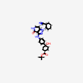 CC(C)(C)OC(=O)[C@H]1CC[C@](O)(c2ccc(Nc3nn([C@H]4CCCCC4C#N)c4cc[nH]c(=O)c34)cc2)CC1